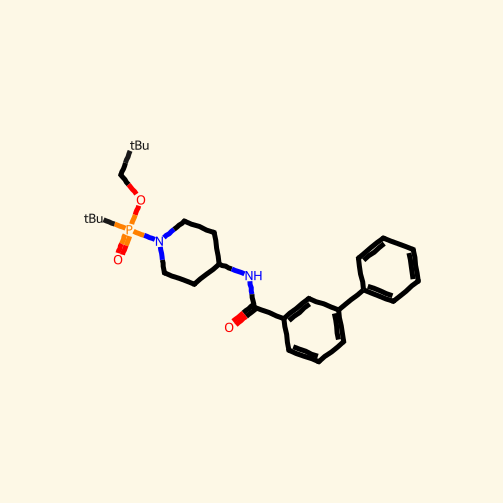 CC(C)(C)COP(=O)(N1CCC(NC(=O)c2cccc(-c3ccccc3)c2)CC1)C(C)(C)C